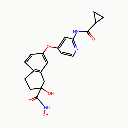 O=C(Nc1cc(Oc2ccc3c(c2)CC(O)(C(=O)NO)CC3)ccn1)C1CC1